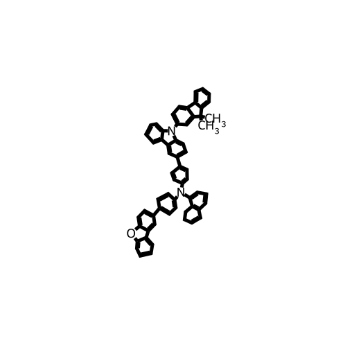 CC1(C)c2ccccc2-c2ccc(-n3c4ccccc4c4cc(-c5ccc(N(c6ccc(-c7ccc8oc9ccccc9c8c7)cc6)c6cccc7c6CCC=C7)cc5)ccc43)cc21